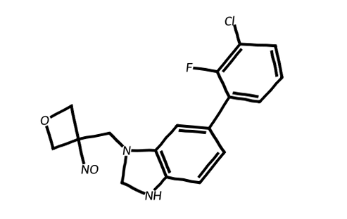 O=NC1(CN2CNc3ccc(-c4cccc(Cl)c4F)cc32)COC1